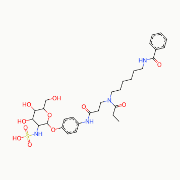 CCC(=O)N(CCCCCCNC(=O)c1ccccc1)CCC(=O)Nc1ccc(OC2OC(CO)C(O)C(O)C2NS(=O)(=O)O)cc1